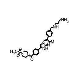 CS(=O)(=O)N1CCN(C(=O)c2ccc(-c3cn4cc(-c5ccc(CNCCCN)cc5)c(=O)nc4[nH]3)cc2)CC1